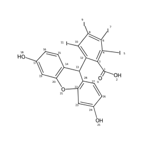 O=C(O)c1c(I)c(I)c(I)c(I)c1C1c2ccc(O)cc2Oc2cc(O)ccc21